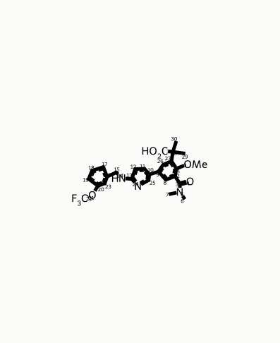 COc1c(C(=O)N(C)C)cc(-c2ccc(NCc3cccc(OC(F)(F)F)c3)nc2)cc1C(C)(C)C(=O)O